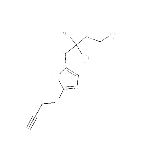 C#CCOc1ncc(CC(C#N)(C#N)CCC(F)(F)F)s1